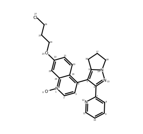 [O-][n+]1ccc(-c2c(-c3ccccn3)nn3c2CCC3)c2ccc(OCCCCl)cc21